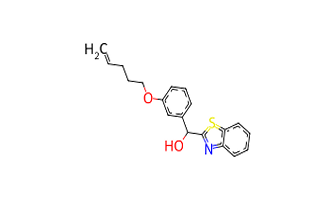 C=CCCCOc1cccc(C(O)c2nc3ccccc3s2)c1